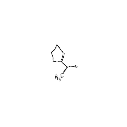 CC(Br)C1=CCCC1